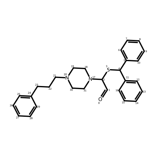 O=CC(SC(c1ccccc1)c1ccccc1)N1CCN(CCCc2ccccc2)CC1